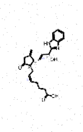 C=C1CC(=O)[C@H](C/C=C\CCCC(=O)O)[C@H]1/C=C/[C@@H](O)c1nc2ccccc2[nH]1